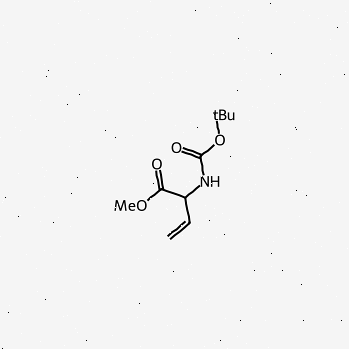 C=CC(NC(=O)OC(C)(C)C)C(=O)OC